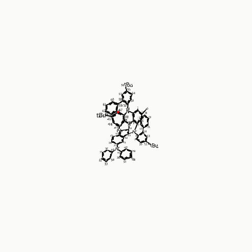 Cc1cc2c3c(c1)N(c1ccc(C(C)(C)C)cc1-c1ccccc1)c1c4n(c5ccc(N(c6ccccc6)c6ccccc6)cc15)-c1cc(C(C)(C)C)cc(c1B34)N2c1ccc(C(C)(C)C)cc1-c1ccccc1